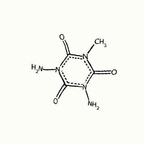 Cn1c(=O)n(N)c(=O)n(N)c1=O